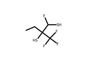 CCC(S)(C(F)S)C(F)(F)F